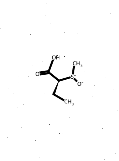 CC[C@@H](C(=O)O)[S+](C)[O-]